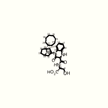 O=C(N[C@@H](CO)C(=O)O)C1Nc2ccccc2N(C2CC3CC[C@@](C4CCCCCCC4)(C2)N3)C1=O